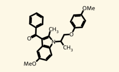 COc1ccc(OCC(C)n2c(C)c(C(=O)c3ccccc3)c3cc(OC)ccc32)cc1